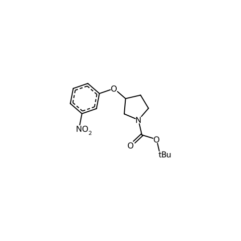 CC(C)(C)OC(=O)N1CCC(Oc2cccc([N+](=O)[O-])c2)C1